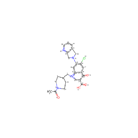 CC(=O)N1CCC(Cn2cc(C(=O)O)c(=O)c3cc(Cl)c(N4Cc5cccnc5C4)cc32)CC1